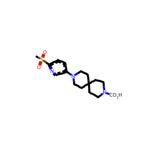 CS(=O)(=O)c1ccc(N2CCC3(CCN(C(=O)O)CC3)CC2)cn1